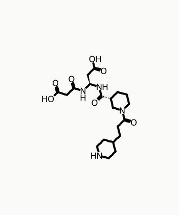 O=C(O)CC(=O)N[C@@H](CC(=O)O)NC(=O)[C@@H]1CCCN(C(=O)CCC2CCNCC2)C1